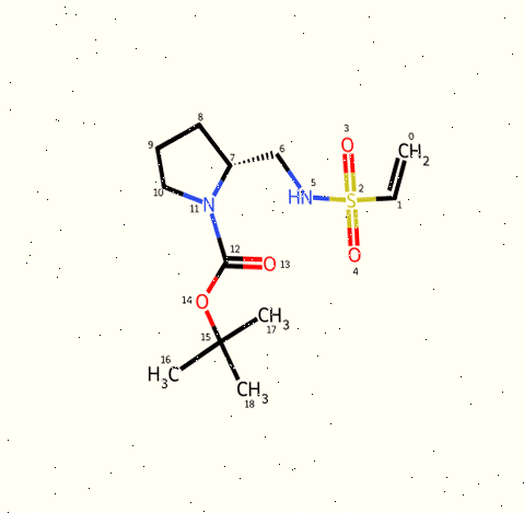 C=CS(=O)(=O)NC[C@H]1CCCN1C(=O)OC(C)(C)C